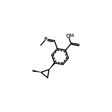 C=C(O)c1ccc([C@H]2C[C@H]2C)cc1/C=P\C